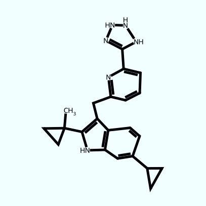 CC1(c2[nH]c3cc(C4CC4)ccc3c2Cc2cccc(C3=NNNN3)n2)CC1